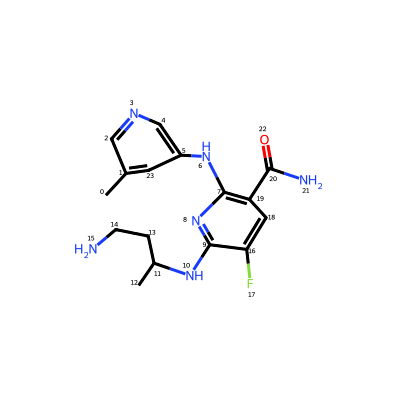 Cc1cncc(Nc2nc(NC(C)CCN)c(F)cc2C(N)=O)c1